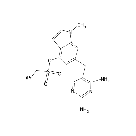 CC(C)CS(=O)(=O)Oc1cc(Cc2cnc(N)nc2N)cc2c1ccn2C